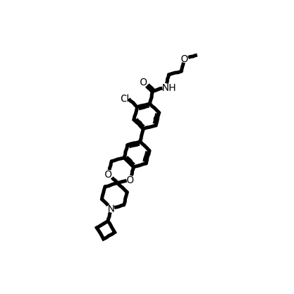 COCCNC(=O)c1ccc(-c2ccc3c(c2)COC2(CCN(C4CCC4)CC2)O3)cc1Cl